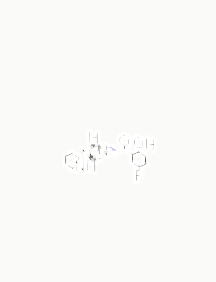 O=C(/C=C/N1C[C@H]2C[C@@H]1CN2c1ccccn1)c1cc(F)ccc1O